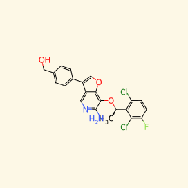 C[C@@H](Oc1c(N)ncc2c(-c3ccc(CO)cc3)coc12)c1c(Cl)ccc(F)c1Cl